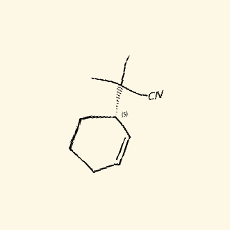 CC(C)(C#N)[C@@H]1C=CCCC1